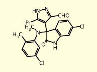 Cc1ccc(Cl)cc1N(C)C1(c2c(C=O)n[nH]c2C(C)C)C(=O)Nc2cc(Cl)ccc21